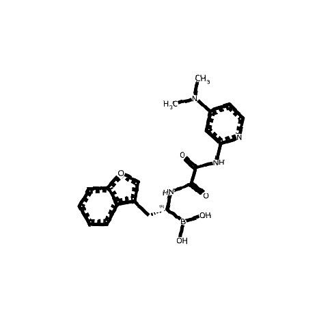 CN(C)c1ccnc(NC(=O)C(=O)N[C@@H](Cc2coc3ccccc23)B(O)O)c1